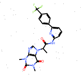 CC(C(=O)Nc1cccc(-c2ccc(C(F)(F)F)cc2)n1)n1cnc2c1c(=O)n(C)c(=O)n2C